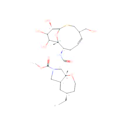 CC(C)C[C@@H]1CCO[C@@H]2[C@@H](C1)CN(C(=O)OC(C)(C)C)[C@@H]2C(=O)N[C@@H]1C/C=C\C(CO)CSC2O[C@H]1C(O)C(O)[C@H]2O